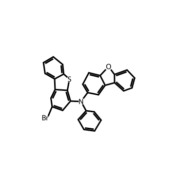 Brc1cc(N(c2ccccc2)c2ccc3oc4ccccc4c3c2)c2sc3ccccc3c2c1